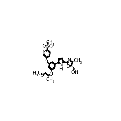 COC[C@H](C)Oc1cc(Oc2ccc(S(C)(=O)=O)nc2)cc(-c2ccc(C3=N[C@H](C)[C@H](CO)O3)[nH]2)c1